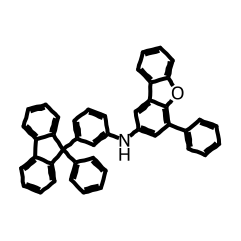 c1ccc(-c2cc(Nc3cccc(C4(c5ccccc5)c5ccccc5-c5ccccc54)c3)cc3c2oc2ccccc23)cc1